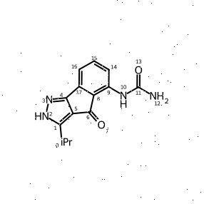 CC(C)c1[nH]nc2c1C(=O)c1c(NC(N)=O)cccc1-2